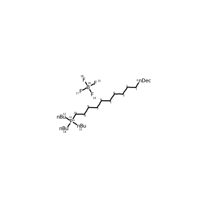 CCCCCCCCCCCCCCCCCCCC[P+](CCCC)(CCCC)CCCC.F[B-](F)(F)F